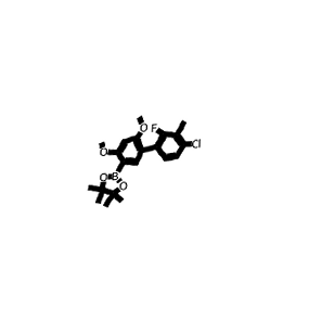 COc1cc(OC)c(-c2ccc(Cl)c(C)c2F)cc1B1OC(C)(C)C(C)(C)O1